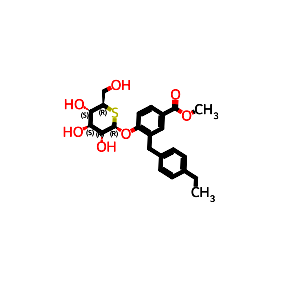 CCc1ccc(Cc2cc(C(=O)OC)ccc2O[C@@H]2S[C@H](CO)[C@@H](O)[C@H](O)[C@H]2O)cc1